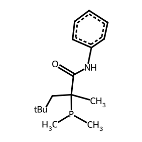 CP(C)C(C)(CC(C)(C)C)C(=O)Nc1ccccc1